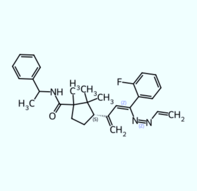 C=C/N=N\C(=C/C(=C)[C@@H]1CCC(C)(C(=O)NC(C)c2ccccc2)C1(C)C)c1ccccc1F